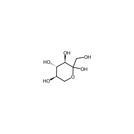 OCC1(O)OC[C@@H](O)[C@H](O)[C@H]1O